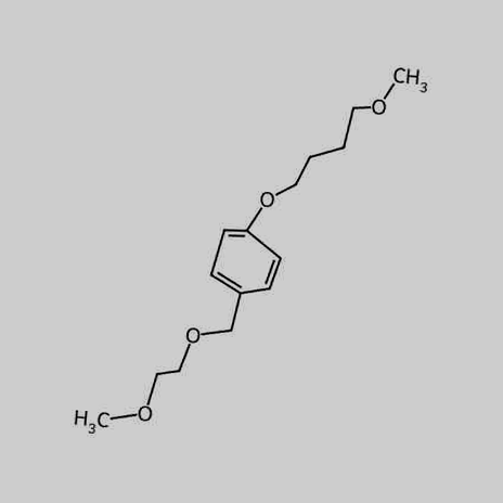 COCCCCOc1ccc(COCCOC)cc1